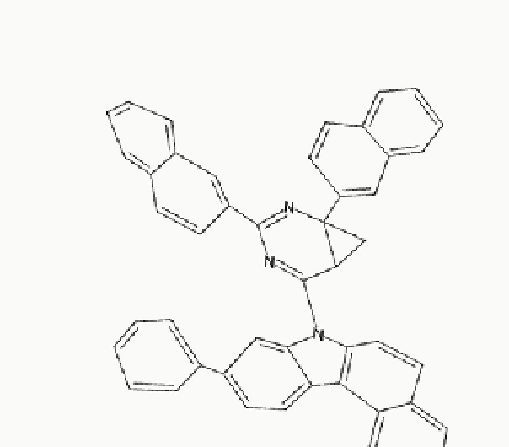 c1ccc(-c2ccc3c4c5ccccc5ccc4n(C4=NC(c5ccc6ccccc6c5)=NC5(c6ccc7ccccc7c6)CC45)c3c2)cc1